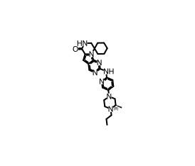 CCCN1CCN(c2ccc(Nc3ncc4cc5n(c4n3)C3(CCCCC3)CNC5=O)nc2)C[C@H]1C